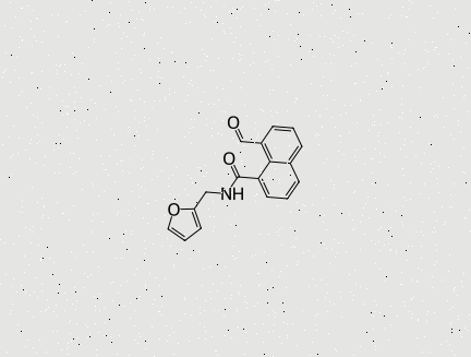 O=Cc1cccc2cccc(C(=O)NCc3ccco3)c12